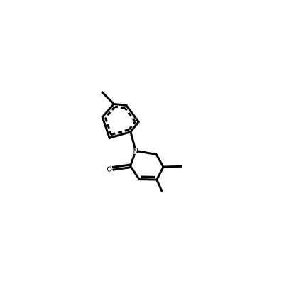 CC1=CC(=O)N(c2ccc(C)cc2)CC1C